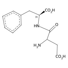 NC(CC(=O)O)C(=O)N[C@@H](Cc1ccccc1)C(=O)O